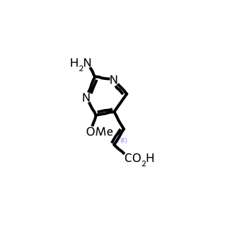 COc1nc(N)ncc1/C=C/C(=O)O